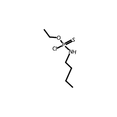 CCCCNP(=S)(Cl)OCC